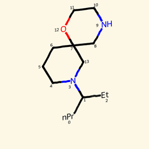 CCCC(CC)N1CCCC2(CNCCO2)C1